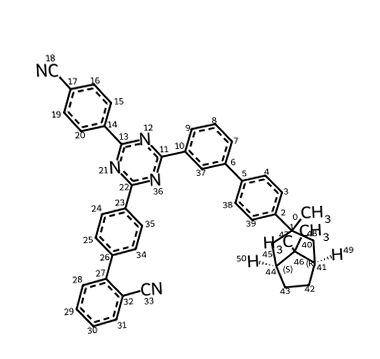 CC1(c2ccc(-c3cccc(-c4nc(-c5ccc(C#N)cc5)nc(-c5ccc(-c6ccccc6C#N)cc5)n4)c3)cc2)C[C@H]2CC[C@@H](C1)C2(C)C